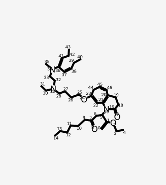 C=C(OCC)C(CC(=O)CCCCCC)N1C(=O)CCC2=C1C=C(OCCCCN(CC)CCN(C)C(/C=C\CC)=C/CC)CC=C2